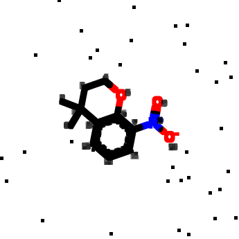 CC1(C)CCOc2c([N+](=O)[O-])cccc21